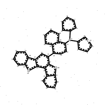 c1ccc(N(c2ccccc2)c2ccc(-c3cc4c5ccccc5oc4c4c3oc3ccccc34)c3ccccc23)cc1